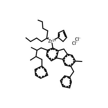 CCCC[C](CCCC)=[Zr+2]([C]1=CC=CC1)[c]1c(CC(C)C(C)Cc2ccccc2)ccc2c1Cc1cc(C)c(Cc3ccccc3)cc1-2.[Cl-].[Cl-]